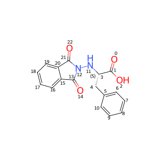 O=C(O)[C@H](Cc1ccccc1)NN1C(=O)c2ccccc2C1=O